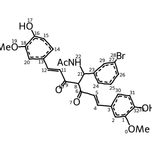 COc1cc(C=CC(=O)C(C(=O)C=Cc2ccc(O)c(OC)c2)C(NC(C)=O)c2cccc(Br)c2)ccc1O